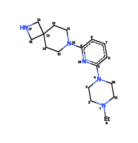 CCN1CCN(c2cccc(N3CCC4(CC3)CNC4)n2)CC1